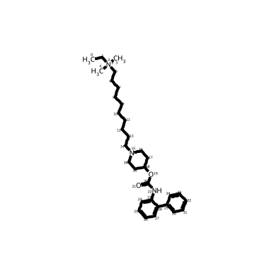 CC[N+](C)(C)CCCCCCCCCCN1CCC(OC(=O)Nc2ccccc2-c2ccccc2)CC1